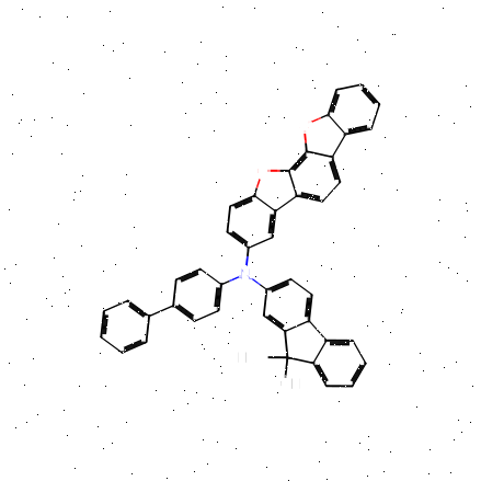 CC1(C)c2ccccc2-c2ccc(N(c3ccc(-c4ccccc4)cc3)c3ccc4oc5c(ccc6c7ccccc7oc65)c4c3)cc21